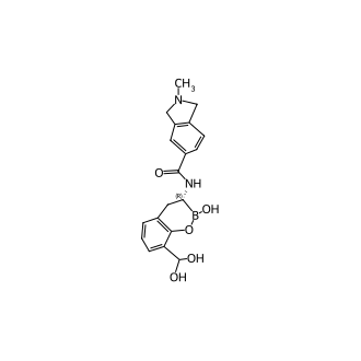 CN1Cc2ccc(C(=O)N[C@H]3Cc4cccc(C(O)O)c4OB3O)cc2C1